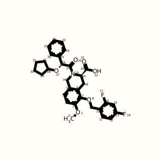 COc1ccc2c(c1OCc1ccc(F)cc1F)C[C@H](C(=O)O)N(C(=O)[C@H](OC1CCCC1)c1ccccc1)C2